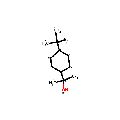 CCC(C)(C)C1CCC(C(C)(O)C(F)(F)F)CC1